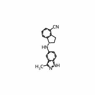 Cc1n[nH]c2ccc(N[C@@H]3CCc4c(C#N)cccc43)cc12